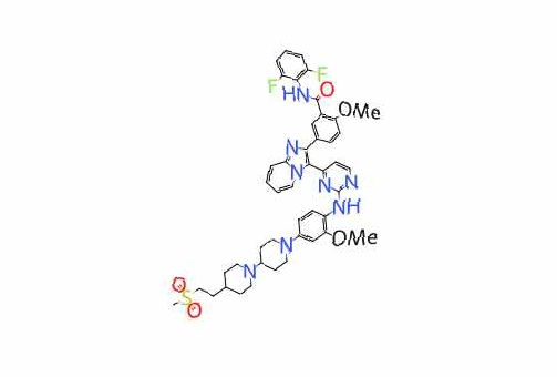 COc1cc(N2CCC(N3CCC(CCS(C)(=O)=O)CC3)CC2)ccc1Nc1nccc(-c2c(-c3ccc(OC)c(C(=O)Nc4c(F)cccc4F)c3)nc3ccccn23)n1